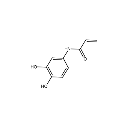 C=CC(=O)Nc1ccc(O)c(O)c1